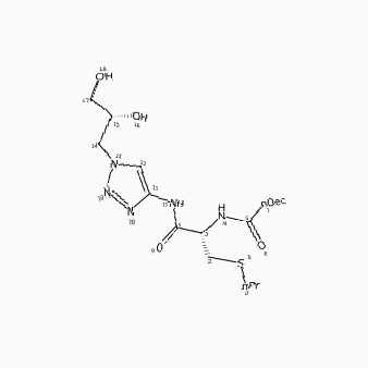 [CH2][CH]CSC[C@@H](NC(=O)CCCCCCCCCC)C(=O)Nc1cn(C[C@@H](O)CO)nn1